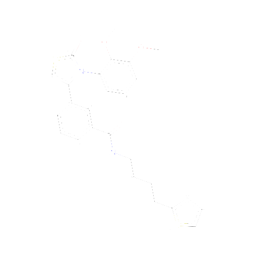 COc1cccc(-n2c(-c3cccc(C(=O)NCCCCc4cccs4)c3)csc2=O)c1OC